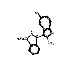 Cc1nc2ccc(Br)cn2c1[C@@H]1N[C@H](C)c2ccccc21